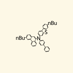 CCCCc1ccc2c(c1)sc1cc(N(c3ccc(-c4ccccc4)cc3)c3cc4ccc(CCCC)cc4c4ccccc34)ccc12